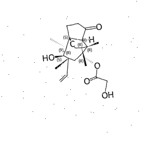 C=C[C@@]1(C)C[C@@H](OC(=O)CO)[C@]2(C)[C@H](C)CC[C@]3(CCC(=O)[C@H]32)[C@@H](C)[C@@H]1O